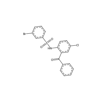 O=C(c1ccccc1)c1cc(Cl)ccc1NS(=O)(=O)c1cccc(Br)c1